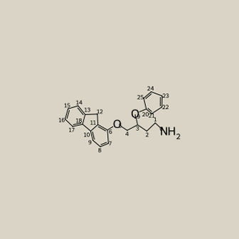 NCCC(COc1cccc2c1Cc1ccccc1-2)Oc1ccccc1